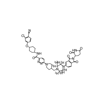 [2H]C1([2H])N(CC2CCN(c3ccc(C(=O)NC4CCC(Oc5ccc(C#N)c(Cl)c5)CC4)nn3)CC2)C([2H])([2H])C([2H])([2H])N(c2ccc3c(c2)C(=O)N(C2CCC(=O)NC2=O)C3=O)C1([2H])[2H]